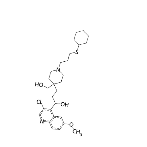 COc1ccc2ncc(Cl)c(C(O)CCC3(CO)CCN(CCCSC4CCCCC4)CC3)c2c1